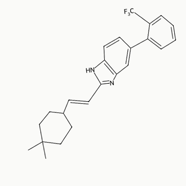 CC1(C)CCC(C=Cc2nc3cc(-c4ccccc4C(F)(F)F)ccc3[nH]2)CC1